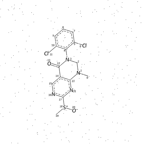 CN1CN(c2c(Cl)cccc2Cl)C(=O)c2cnc([S+](C)[O-])nc21